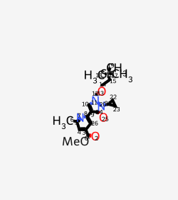 COC(=O)c1cc(C)nc(-c2cn(COCC[Si](C)(C)C)n(C3CC3)c2=O)c1